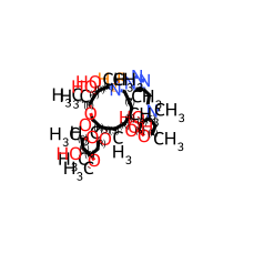 CC[C@H]1OC(=O)[C@H](C)[C@@H](O[C@H]2C[C@@](C)(OC)[C@@H](O)[C@H](C)O2)[C@H](C)[C@@H](O[C@@H]2O[C@H](C)C[C@H](N(C)CCc3cn(P)nn3)[C@H]2O)[C@](C)(O)C[C@@H](C)CN(C)[C@H](C)[C@@H](O)[C@]1(C)O